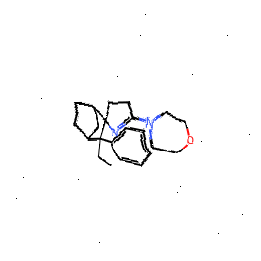 CCC1(c2ccccc2)C2CCC(C2)C12CCC(N1CCOCC1)=N2